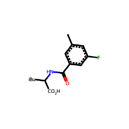 CCC(C)C(NC(=O)c1cc(C)cc(F)c1)C(=O)O